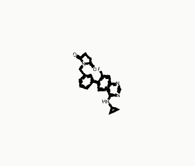 O=C1CCC(=O)N1Cc1cccc(-c2cc3c(NC4CC4)ncnc3cc2F)c1